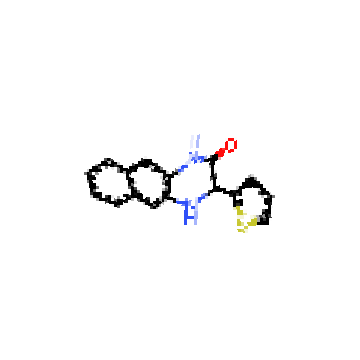 O=C1Nc2cc3ccccc3cc2NC1c1cccs1